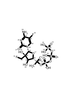 CC(C)(OP(=O)(O)OP(=O)(O)OP(=O)(O)O)[C@H]1O[C@@H](n2cc(F)c(N)nc2=O)[C@@](O)(CF)C1O